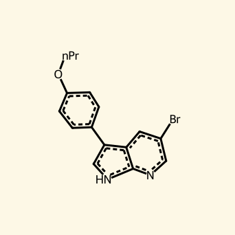 CCCOc1ccc(-c2c[nH]c3ncc(Br)cc23)cc1